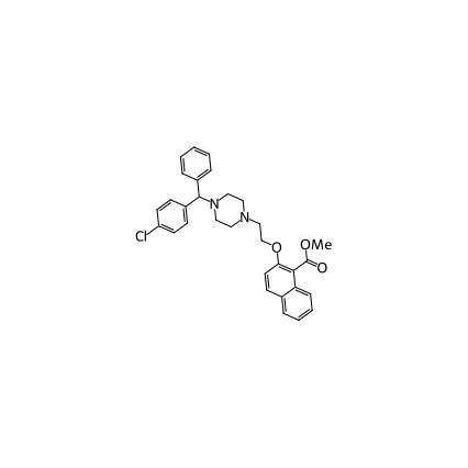 COC(=O)c1c(OCCN2CCN(C(c3ccccc3)c3ccc(Cl)cc3)CC2)ccc2ccccc12